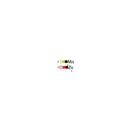 [O]=[Zn].[S]=[Mn]